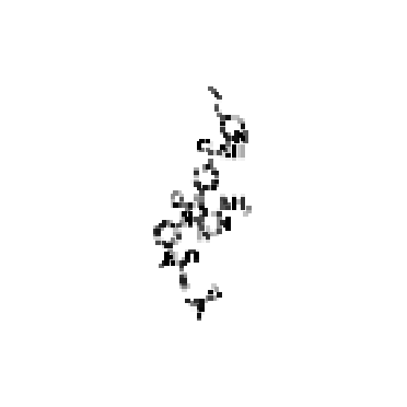 CCCc1ccnc(NC(=O)c2ccc(-n3c(=O)n(-c4cccc(N(C)C(=O)C#CCN(C)C5CC5)c4)c4ncnc(N)c43)cc2)c1